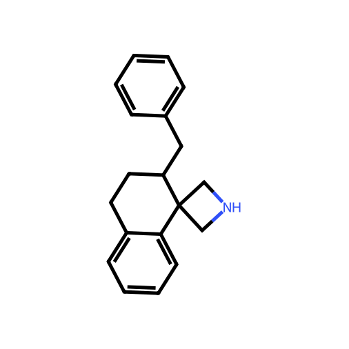 c1ccc(CC2CCc3ccccc3C23CNC3)cc1